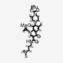 COc1c(N2CCN(C(=O)OC(C)(C)C)C(C)C2)c(F)cc2c(=O)c(C(=O)NCCCN(C)C)cn(C3CC3)c12